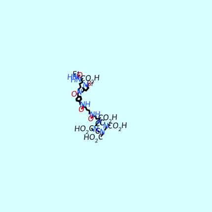 CCNC(=O)NC(CCCCN(Cc1ccc(Br)nc1)C(=O)c1ccc(CNC(=O)CCCCNC(=O)CCC(C(=O)O)N2CCN(CC(=O)O)CCN(CC(=O)O)CCN(CC(=O)O)CC2)cc1)C(=O)O